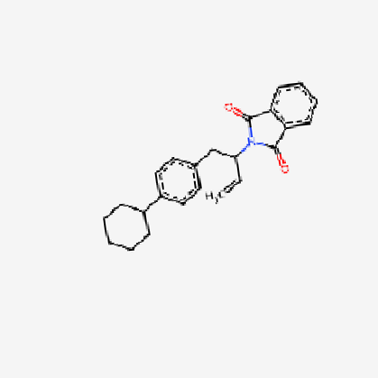 C=CC(Cc1ccc(C2CCCCC2)cc1)N1C(=O)c2ccccc2C1=O